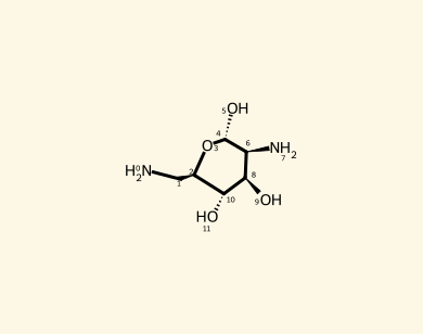 NC[C@H]1O[C@H](O)[C@@H](N)[C@@H](O)[C@@H]1O